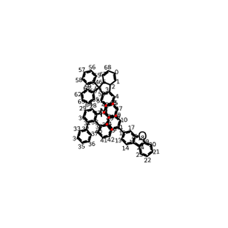 C1=CC2c3ccc(N(c4ccc(-c5ccc6c(c5)oc5ccccc56)cc4)c4cccc(-c5ccccc5)c4-c4ccccc4-c4ccccc4)cc3C(c3ccccc3)(c3ccccc3)C2C=C1